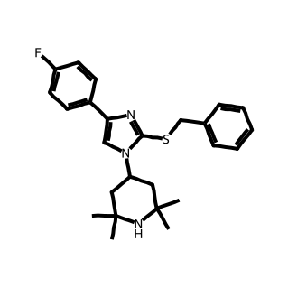 CC1(C)CC(n2cc(-c3ccc(F)cc3)nc2SCc2ccccc2)CC(C)(C)N1